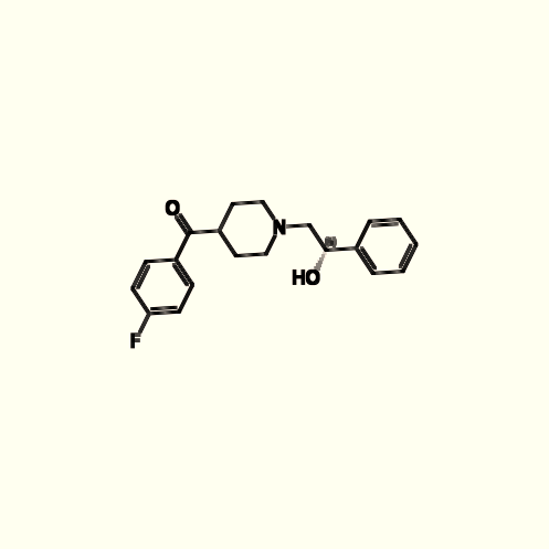 O=C(c1ccc(F)cc1)C1CCN(C[C@@H](O)c2ccccc2)CC1